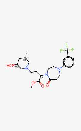 COC(=O)[C@H](CCN1C[C@@H](C)C[C@H](O)C1)N1CCN(c2cccc(C(F)(F)F)c2)CCC1=O